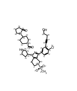 CS(=O)(=O)N1CCc2c(c(-c3ccc(Cl)c(C#CCCO)c3)nn2C2CCN[C@@H]2C(=O)N2CCC(N3CCCC3=O)CC2)C1